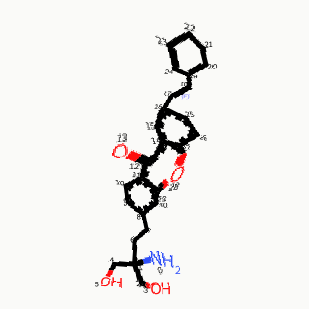 NC(CO)(CO)CCc1ccc2c(=O)c3cc(/C=C/C4=CCCC=C4)ccc3oc2c1